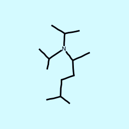 CC(C)CCC(C)N(C(C)C)C(C)C